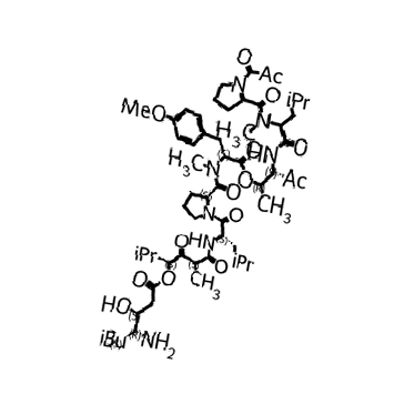 CC[C@H](C)[C@@H](N)[C@@H](O)CC(=O)O[C@H](C(=O)[C@H](C)C(=O)N[C@@H](CC(C)C)C(=O)N1CCC[C@H]1C(=O)N(C)[C@@H](Cc1ccc(OC)cc1)C(=O)O[C@H](C)[C@H](NC(=O)C(CC(C)C)N(C)C(=O)C1CCCN1C(=O)C(C)=O)C(C)=O)C(C)C